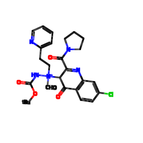 CC(C)(C)OC(=O)N[N+](C=O)(CCc1ccccn1)C1C(=O)c2ccc(Cl)cc2N=C1C(=O)N1CCCC1